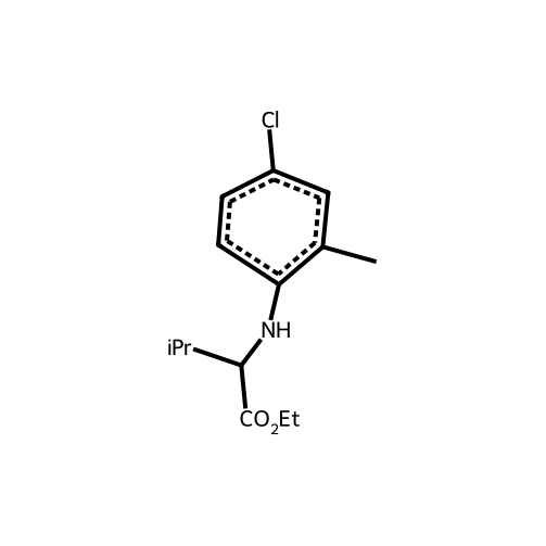 CCOC(=O)C(Nc1ccc(Cl)cc1C)C(C)C